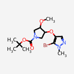 COC1CN(C(=O)OC(C)(C)C)CC1Oc1cnn(C)c1Br